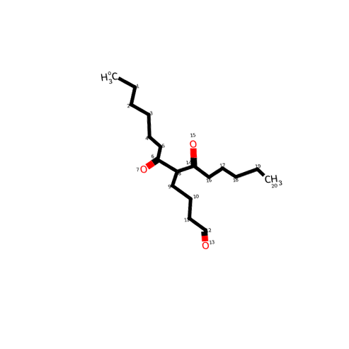 CCCCCCC(=O)C(CCCC=O)C(=O)CCCCC